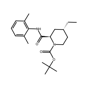 CC[C@@H]1CCN(C(=O)OC(C)(C)C)[C@@H](C(=O)Nc2c(C)cccc2C)C1